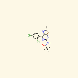 Cc1nc2c(-c3ccc(Cl)cc3Cl)nc(NC(=O)C(C)(C)C)nc2s1